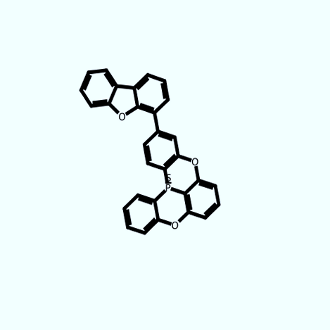 S=P12c3ccccc3Oc3cccc(c31)Oc1cc(-c3cccc4c3oc3ccccc34)ccc12